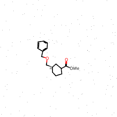 COC(=O)C1CCC[C@@H](COCc2ccccc2)C1